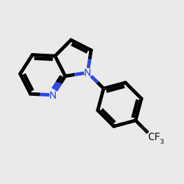 FC(F)(F)c1ccc(-n2ccc3cccnc32)cc1